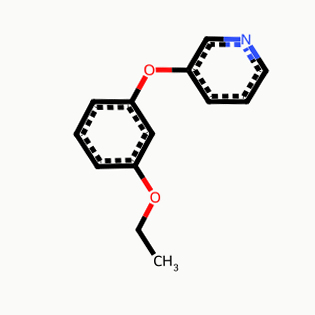 CCOc1cccc(Oc2cccnc2)c1